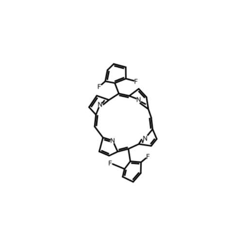 Fc1cccc(F)c1C1=C2C=CC(=N2)C=C2C=CC(=N2)C(c2c(F)cccc2F)=C2C=CC(=N2)C=C2C=CC1=N2